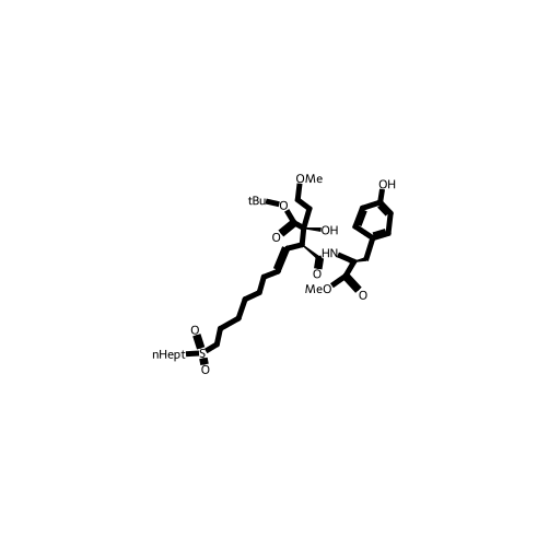 CCCCCCCS(=O)(=O)CCCCCC/C=C/[C@H](C(=O)N[C@@H](Cc1ccc(O)cc1)C(=O)OC)[C@@](O)(CCOC)C(=O)OC(C)(C)C